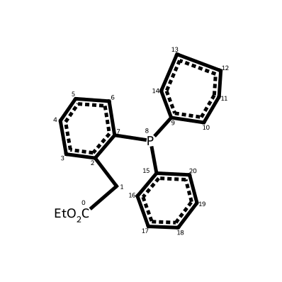 CCOC(=O)Cc1ccccc1P(c1ccccc1)c1ccccc1